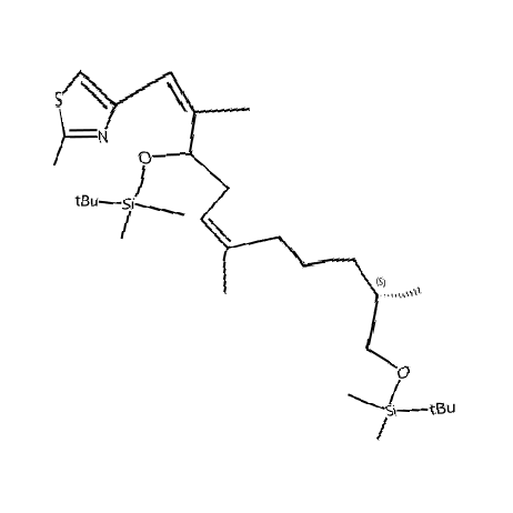 CC(=CCC(O[Si](C)(C)C(C)(C)C)C(C)=Cc1csc(C)n1)CCC[C@H](C)CO[Si](C)(C)C(C)(C)C